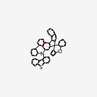 c1ccc(-c2ccccc2N(c2ccc3c(c2)C2(c4ccccc4Oc4ccccc42)c2ccc4ccccc4c2-3)c2cccc3sc4ccccc4c23)cc1